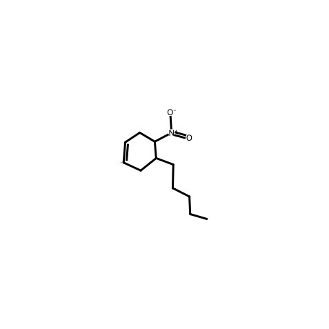 CCCCCC1C[C]=CCC1[N+](=O)[O-]